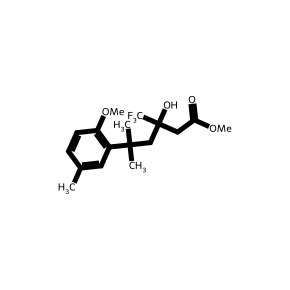 COC(=O)CC(O)(CC(C)(C)c1cc(C)ccc1OC)C(F)(F)F